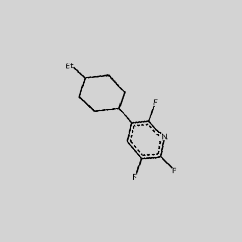 CCC1CCC(c2cc(F)c(F)nc2F)CC1